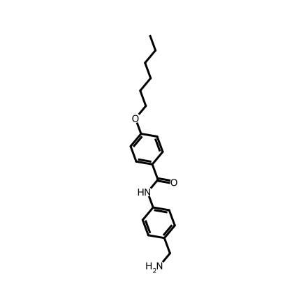 CCCCCCOc1ccc(C(=O)Nc2ccc(CN)cc2)cc1